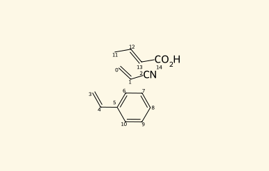 C=CC#N.C=Cc1ccccc1.CC=CC(=O)O